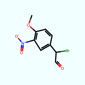 COc1ccc(C(Br)C=O)cc1[N+](=O)[O-]